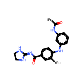 CC(C)C(=O)Nc1cccc(Nc2ccc(C(=O)N=C3NCCN3)cc2C(C)(C)C)c1